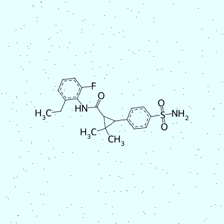 CCc1cccc(F)c1NC(=O)C1C(c2ccc(S(N)(=O)=O)cc2)C1(C)C